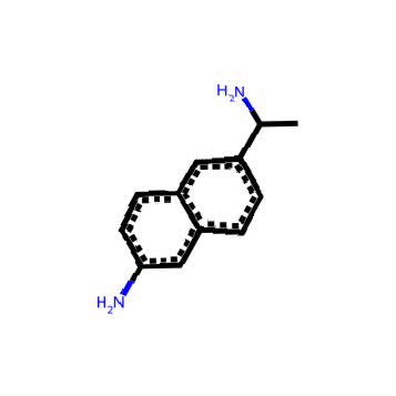 CC(N)c1ccc2cc(N)ccc2c1